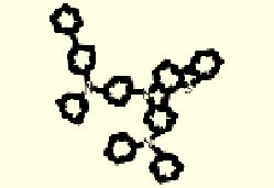 c1ccc(-c2ccc(N(c3ccccc3)c3ccc(-n4c5cc(N(c6ccccc6)c6ccccc6)ccc5c5c6sc7ccccc7c6ccc54)cc3)cc2)cc1